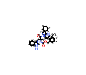 CC(Cc1c[nH]c2ccccc12)(NC(=O)OCc1cccc([N+](=O)[O-])c1)C(=O)NCC1(c2ccccn2)CCCCC1